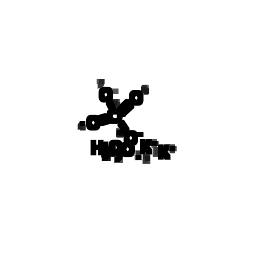 O.O.[K+].[K+].[O]=[Cr](=[O])([O-])[O-]